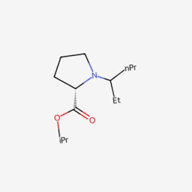 CCCC(CC)N1CCC[C@H]1C(=O)OC(C)C